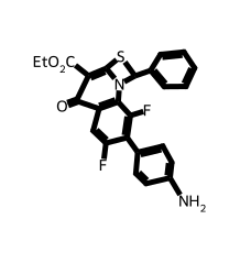 CCOC(=O)c1c2n(c3c(F)c(-c4ccc(N)cc4)c(F)cc3c1=O)C(c1ccccc1)S2